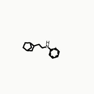 [c]1ccccc1NCCC1CC2CCC1C2